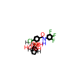 CC(O)C(O)[C@@]1(O)[C@@H]2CC[C@H]1C[C@H](S(=O)(=O)c1cc(C(=O)Nc3cc(F)c(F)c(F)c3)ccc1Cl)C2